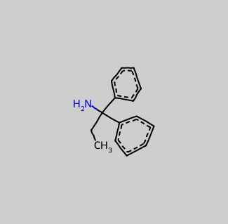 CCC(N)(c1ccccc1)c1ccccc1